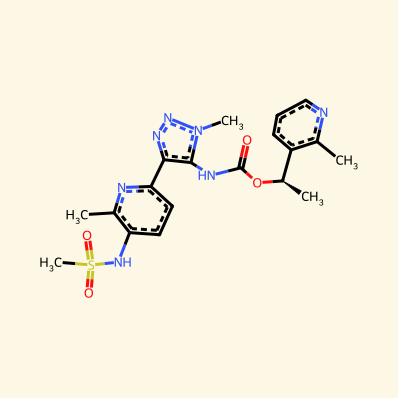 Cc1nc(-c2nnn(C)c2NC(=O)O[C@H](C)c2cccnc2C)ccc1NS(C)(=O)=O